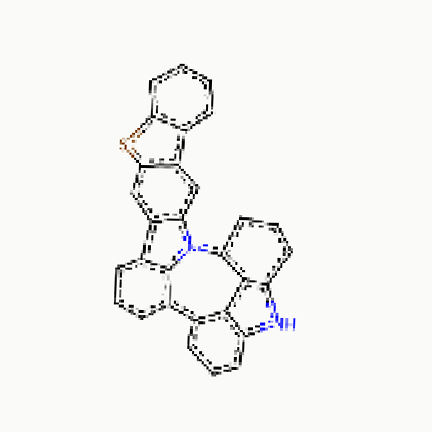 c1ccc2c(c1)sc1cc3c4cccc5c6cccc7[nH]c8cccc(c8c76)n(c3cc12)c54